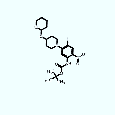 CC(C)(C)OC(=O)Nc1cc(N2CCC(OC3CCCCO3)CC2)c(I)cc1[N+](=O)[O-]